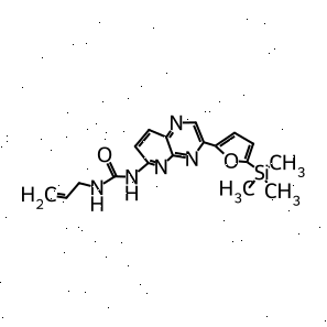 C=CCNC(=O)Nc1ccc2ncc(-c3ccc([Si](C)(C)C)o3)nc2n1